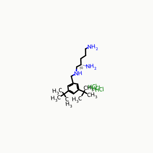 CC(C)(C)c1cc(CNC[C@@H](N)CCCN)cc(C(C)(C)C)c1.Cl.Cl.Cl